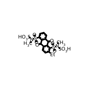 CCc1ccc2c(c1S(=O)(=O)N(C)S(=O)(=O)O)C(=O)c1cccc(S(=O)(=O)N(C)S(=O)(=O)O)c1C2=O